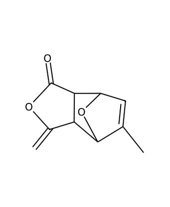 C=C1OC(=O)C2C3C=C(C)C(O3)C12